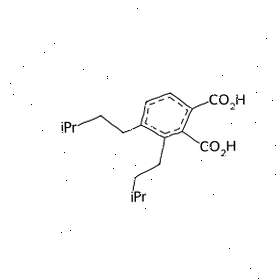 CC(C)CCc1ccc(C(=O)O)c(C(=O)O)c1CCC(C)C